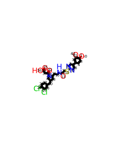 COc1ccc(-c2cnc(SCC(=O)NCCC3CC(Cc4ccc(Cl)c(Cl)c4)CN3C(=O)CC(=O)O)nc2)cc1OC